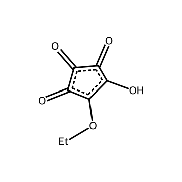 CCOc1c(O)c(=O)c(=O)c1=O